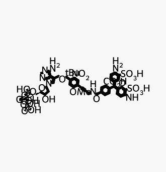 COc1cc([C@@H](OCc2cn([C@H]3C[C@@H](O)[C@@H](COP(=O)(O)OP(=O)(O)OP(=O)(O)O)O3)c3ncnc(N)c23)C(C)(C)C)c([N+](=O)[O-])cc1C#CCNC(=O)c1ccc(-c2c3ccc(=N)c(S(=O)(=O)O)c-3oc3c(S(=O)(=O)O)c(N)ccc23)c(C(=O)O)c1